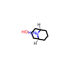 NN1[C@@H]2CCC[C@H]1C[C@H](O)C2